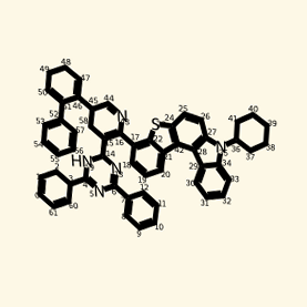 C1=CCC(C2=NC(c3ccccc3)=NC(C3=C(c4cccc5c4sc4ccc6c(c7ccccc7n6C6CCCCC6)c45)N=CC(C4=CCCC=C4c4ccccc4)C3)N2)C=C1